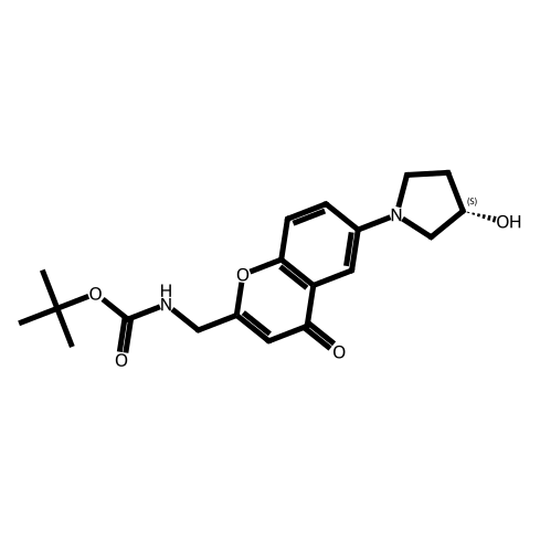 CC(C)(C)OC(=O)NCc1cc(=O)c2cc(N3CC[C@H](O)C3)ccc2o1